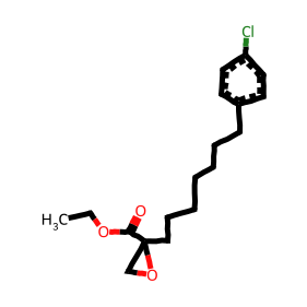 CCOC(=O)C1(CCCCCCCc2ccc(Cl)cc2)CO1